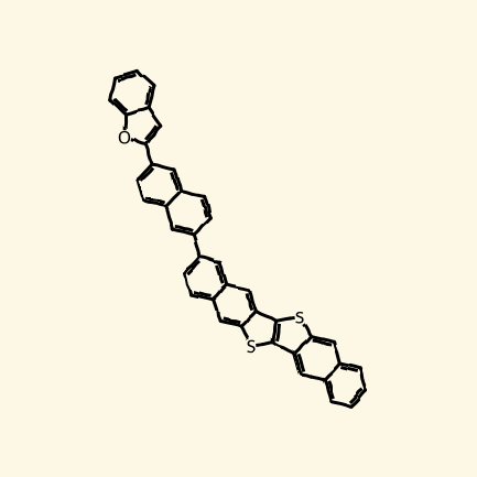 c1ccc2cc3c(cc2c1)sc1c2cc4cc(-c5ccc6cc(-c7cc8ccccc8o7)ccc6c5)ccc4cc2sc31